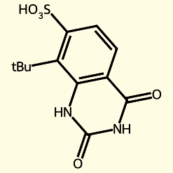 CC(C)(C)c1c(S(=O)(=O)O)ccc2c(=O)[nH]c(=O)[nH]c12